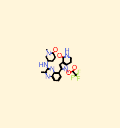 Cc1nc2cccc(-c3cc4c(n3OC(=O)C(F)(F)F)CCNC4=O)c2nc1NC1CCC(=O)N(C)C1